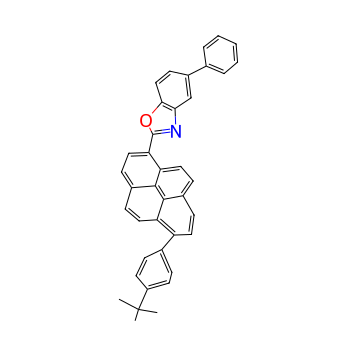 CC(C)(C)c1ccc(-c2ccc3ccc4c(-c5nc6cc(-c7ccccc7)ccc6o5)ccc5ccc2c3c54)cc1